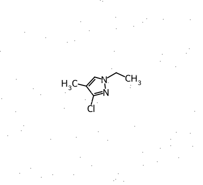 CCn1cc(C)c(Cl)n1